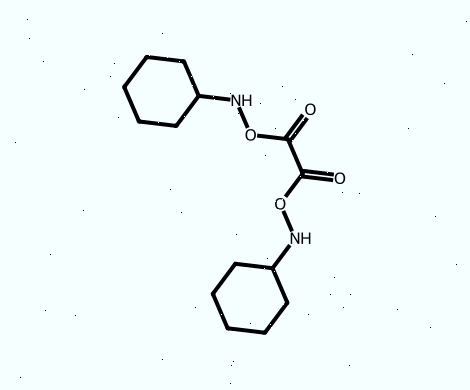 O=C(ONC1CCCCC1)C(=O)ONC1CCCCC1